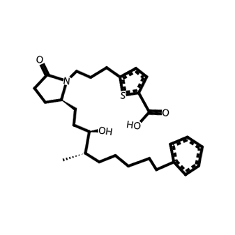 C[C@@H](CCCCCc1ccccc1)[C@H](O)CC[C@H]1CCC(=O)N1CCCc1ccc(C(=O)O)s1